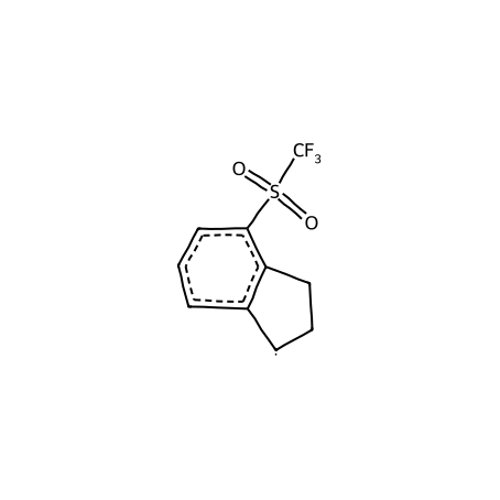 O=S(=O)(c1cccc2c1CC[CH]2)C(F)(F)F